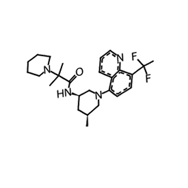 C[C@H]1C[C@@H](NC(=O)C(C)(C)N2CCCCC2)CN(c2ccc(C(C)(F)F)c3ncccc23)C1